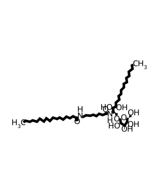 CCCCCCCCCCCCCCCCC(=O)NCCCCCCCC(=O)N[C@@H](CO[C@H]1O[C@H](CO)[C@H](O)[C@H](O)[C@H]1O)[C@H](O)[C@H](O)CCCCCCCCCCCCCC